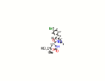 CC(C)(Cc1ccc(Br)cc1)NC(=O)C(CCC(=O)O)NC(=O)OC(C)(C)C